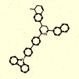 CC1CC=Cc2cc(C3C=C(c4ccc(-c5ccc(-n6c7ccccc7c7ccccc76)cc5)cc4)N=C(c4ccc5ccccc5c4)C3)ccc21